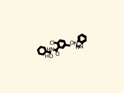 O=C(NC(O)C1CCCCC1)c1cc(COn2nnc3ccccc32)ccc1Cl